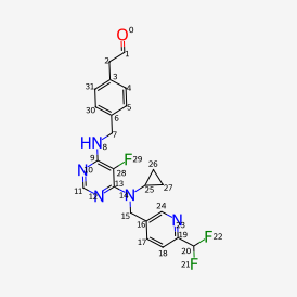 O=CCc1ccc(CNc2ncnc(N(Cc3ccc(C(F)F)nc3)C3CC3)c2F)cc1